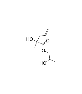 C=CCC(C)(O)C(=O)OCC(C)O